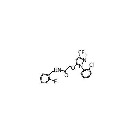 O=C(COc1cc(C(F)(F)F)nn1-c1ccccc1Cl)NCCc1ccccc1F